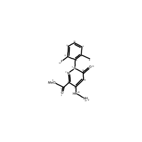 COC(=O)c1nn(-c2c(C)cccc2F)c(=O)cc1NN